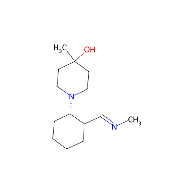 C/N=C/C1CCCC[C@@H]1N1CCC(C)(O)CC1